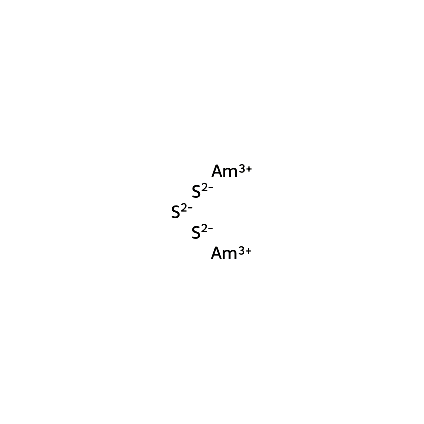 [Am+3].[Am+3].[S-2].[S-2].[S-2]